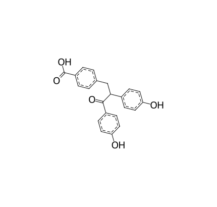 O=C(O)c1ccc(CC(C(=O)c2ccc(O)cc2)c2ccc(O)cc2)cc1